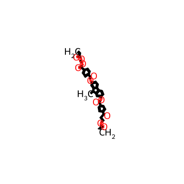 C=CC(=O)OCCC(=O)c1ccc(C(=O)Oc2ccc3c(c2)C(C)c2cc(OC(=O)c4ccc(C(=O)OCOC(=O)C=C)cc4)ccc2-3)cc1